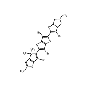 CC1=CC2OC(c3oc4c(Br)c(C5=C(Br)c6sc(C)cc6[Si]5(C)C)oc4c3Br)=C(Br)C2S1